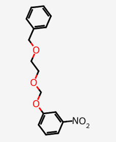 O=[N+]([O-])c1cccc(OCOCCOCc2ccccc2)c1